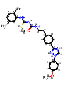 Cc1ccc(C(C)C)c(N/C(=N/C(=O)NCCc2ccc(-c3ncn(-c4ccc(OC(F)(F)F)cc4)n3)cc2)SC(C)(C)C)c1